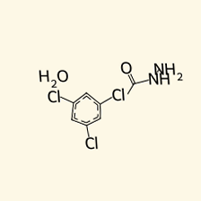 CC(=O)NN.Clc1cc(Cl)cc(Cl)c1.O